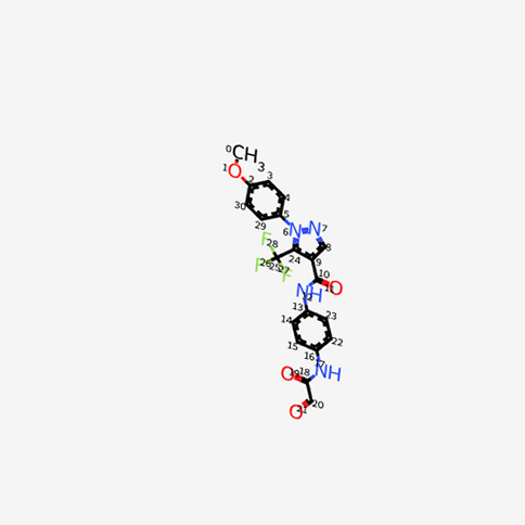 COc1ccc(-n2ncc(C(=O)Nc3ccc(NC(=O)C=O)cc3)c2C(F)(F)F)cc1